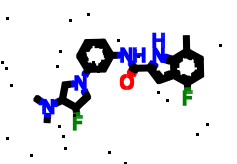 Cc1ccc(F)c2cc(C(=O)Nc3cccc(N4CC(F)C(N(C)C)C4)c3)[nH]c12